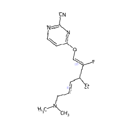 CCC(/C=C/CN(C)C)/C(F)=C/Oc1ccnc(C#N)n1